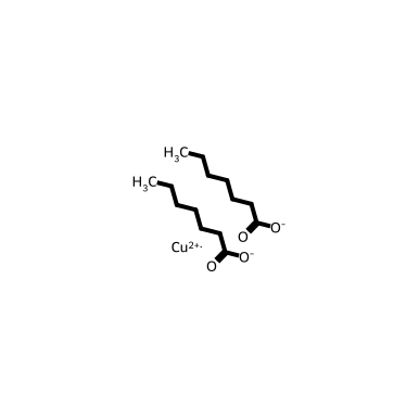 CCCCCCC(=O)[O-].CCCCCCC(=O)[O-].[Cu+2]